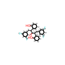 O=C(C(Cc1cc(F)cc(F)c1)c1ccccc1O)C(Cc1cc(F)cc(F)c1)c1ccccc1O